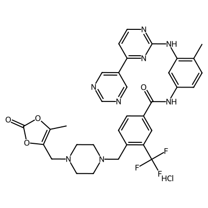 Cc1ccc(NC(=O)c2ccc(CN3CCN(Cc4oc(=O)oc4C)CC3)c(C(F)(F)F)c2)cc1Nc1nccc(-c2cncnc2)n1.Cl